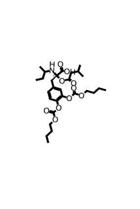 CCCCOC(=O)Oc1ccc(C[C@](NC(C)CC)(OC(=O)CC(C)C)C(=O)O)cc1OC(=O)OCCCC